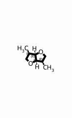 C[C@@H]1CO[C@H]2[C@@H]1OC[C@H]2C